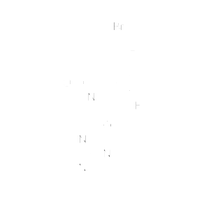 O=C(CN1C[C@@]2(C[C@@H]2F)c2c(ccc(Br)c2F)C1=O)Nc1ncccn1